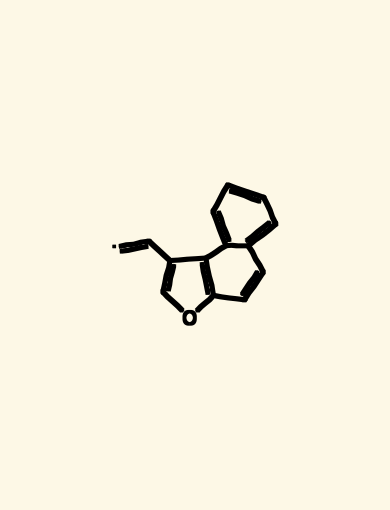 [CH]=Cc1coc2ccc3ccccc3c12